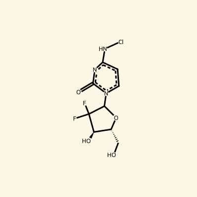 O=c1nc(NCl)ccn1C1O[C@H](CO)[C@@H](O)C1(F)F